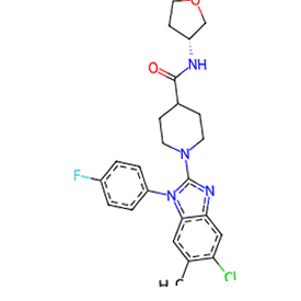 Cc1cc2c(cc1Cl)nc(N1CCC(C(=O)N[C@@H]3CCOC3)CC1)n2-c1ccc(F)cc1